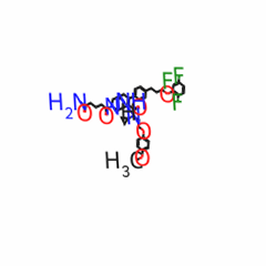 COc1ccc(OCCN(C(=O)C2=C(c3ccc(CCCOc4c(F)ccc(F)c4F)cc3)CC3CN(C(=O)CCCC(N)=O)C[C@H]2N3)C2CC2)cc1